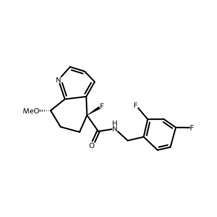 CO[C@H]1CC[C@@](F)(C(=O)NCc2ccc(F)cc2F)c2cccnc21